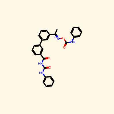 C/C(=N\OC(=O)Nc1ccccc1)c1cccc(-c2cccc(C(=O)NC(=O)Nc3ccccc3)c2)c1